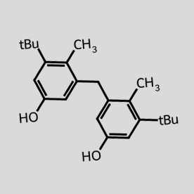 Cc1c(Cc2cc(O)cc(C(C)(C)C)c2C)cc(O)cc1C(C)(C)C